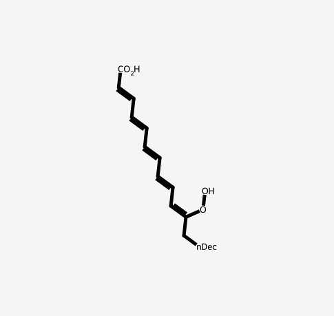 CCCCCCCCCCCC(=CC=CC=CC=CC=CC(=O)O)OO